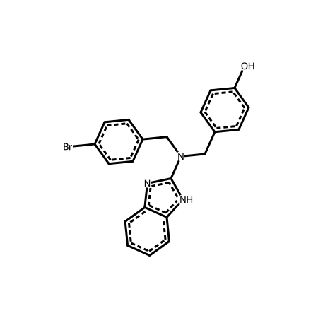 Oc1ccc(CN(Cc2ccc(Br)cc2)c2nc3ccccc3[nH]2)cc1